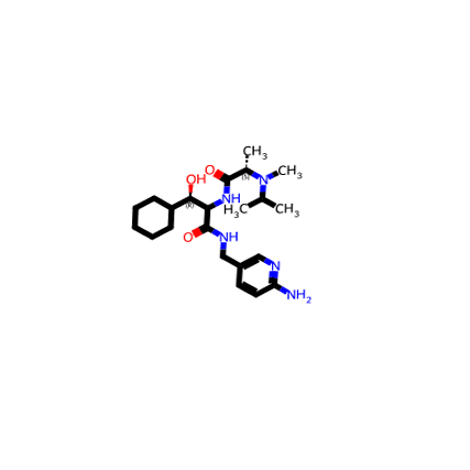 CC(C)N(C)[C@@H](C)C(=O)NC(C(=O)NCc1ccc(N)nc1)[C@H](O)C1CCCCC1